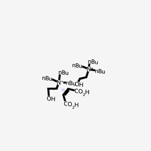 CCCC[N+](CCO)(CCCC)CCCC.CCCC[N+](CCO)(CCCC)CCCC.O=C(O)/C=C\C(=O)O